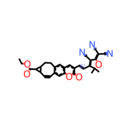 CCOC(=O)C1C2C#Cc3cc4oc(=O)c(/C=C/C5=C(C#N)C(=C(C#N)C#N)OC5(C)C)cc4cc3CCC21